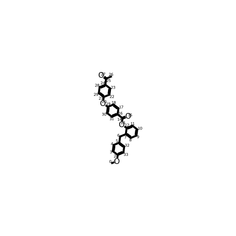 COc1ccc(Cc2ccccc2OC(=O)c2ccc(Oc3ccc(C(C)=O)cc3)cc2)cc1